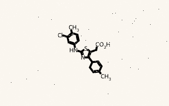 CC1=CCC(c2nc(Nc3ccc(C)c(Cl)c3)sc2CC(=O)O)C=C1